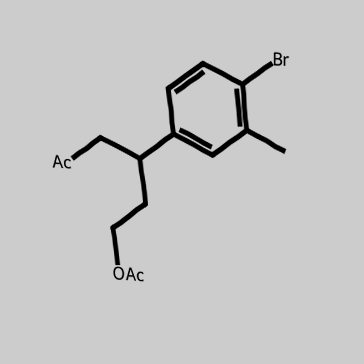 CC(=O)CC(CCOC(C)=O)c1ccc(Br)c(C)c1